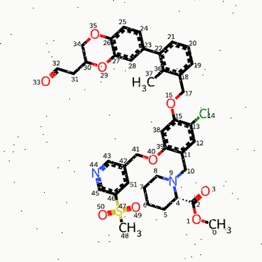 COC(=O)[C@@H]1CCCCN1Cc1cc(Cl)c(OCc2cccc(-c3ccc4c(c3)OC(CC=O)CO4)c2C)cc1OCc1cncc(S(C)(=O)=O)c1